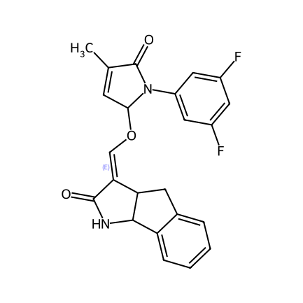 CC1=CC(O/C=C2/C(=O)NC3c4ccccc4CC23)N(c2cc(F)cc(F)c2)C1=O